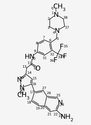 CN1CCN(Cc2ccc(NC(=O)Cc3cc(-c4ccc5cc(N)ncc5c4)n(C)n3)cc2C(F)(F)F)CC1